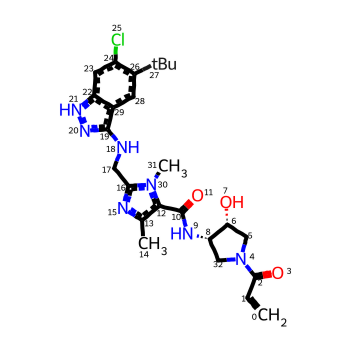 C=CC(=O)N1C[C@@H](O)[C@@H](NC(=O)c2c(C)nc(CNc3n[nH]c4cc(Cl)c(C(C)(C)C)cc34)n2C)C1